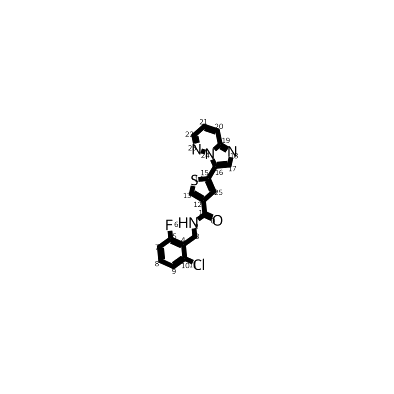 O=C(NCc1c(F)cccc1Cl)c1csc(-c2cnc3cccnn23)c1